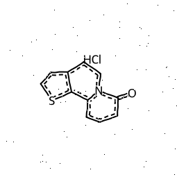 Cl.O=c1cccc2c3sccc3ccn12